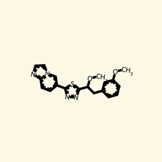 COc1cccc(CC(OC)c2nnc(-c3ccc4nccn4c3)s2)c1